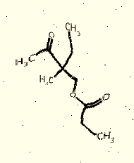 CCC(=O)OCC(C)(CC)C(C)=O